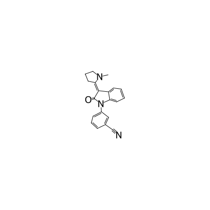 CN1CCC/C1=C1\C(=O)N(c2cccc(C#N)c2)c2ccccc21